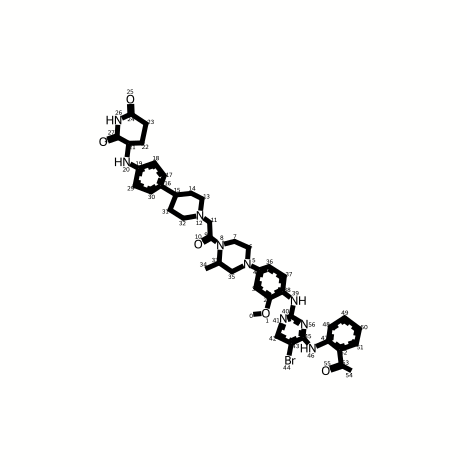 COc1cc(N2CCN(C(=O)CN3CCC(c4ccc(NC5CCC(=O)NC5=O)cc4)CC3)C(C)C2)ccc1Nc1ncc(Br)c(Nc2ccccc2C(C)=O)n1